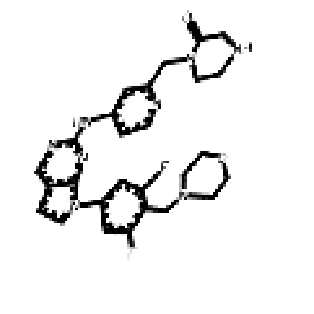 O=C1CNCCN1Cc1cc(Nc2ncc3ccn(-c4cc(F)c(CN5CCOCC5)c(F)c4)c3n2)ccn1